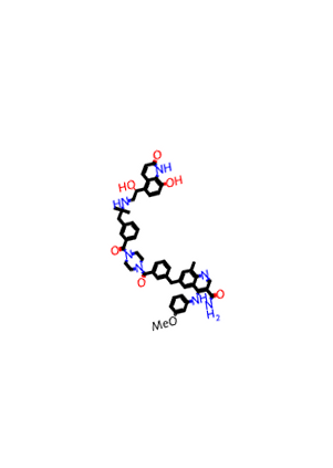 COc1cccc(Nc2c(C(N)=O)cnc3c(C)cc(Cc4cccc(C(=O)N5CCN(C(=O)c6cccc(CC(C)(C)NC[C@H](O)c7ccc(O)c8[nH]c(=O)ccc78)c6)CC5)c4)cc23)c1